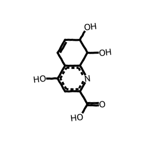 O=C(O)c1cc(O)c2c(n1)C(O)C(O)C=C2